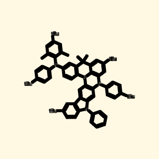 Cc1cc(C(C)(C)C)cc(C)c1N(c1ccc(C(C)(C)C)cc1)c1ccc2c(c1)C(C)(C)c1cc(C(C)(C)C)cc3c1B2c1cc2c4cc(C(C)(C)C)ccc4n(-c4ccccc4)c2cc1N3c1ccc(C(C)(C)C)cc1